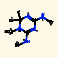 CCC1(C)N=C(NC(C)C)N=C(NC(C)C)N1S(=O)(=O)O